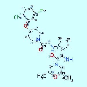 C[C@@H]1CN(C(=O)C(=N)C2=C(NCC(=O)N3CCC(Oc4cc(F)ccc4Cl)CC3)CCC2)C[C@H](C)O1